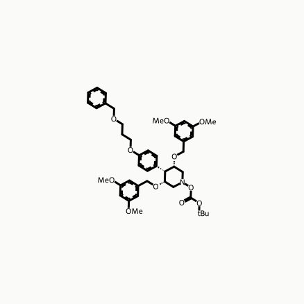 COc1cc(CO[C@H]2CN(OC(=O)OC(C)(C)C)C[C@@H](OCc3cc(OC)cc(OC)c3)[C@H]2c2ccc(OCCCOCc3ccccc3)cc2)cc(OC)c1